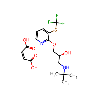 CC(C)(C)NC[C@H](O)COc1ncccc1SC(F)(F)F.O=C(O)/C=C\C(=O)O